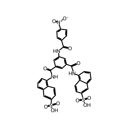 O=C(Nc1cc(C(=O)Nc2cccc3cc(S(=O)(=O)O)ccc23)cc(C(=O)Nc2cccc3cc(S(=O)(=O)O)ccc23)c1)c1ccc([N+](=O)[O-])cc1